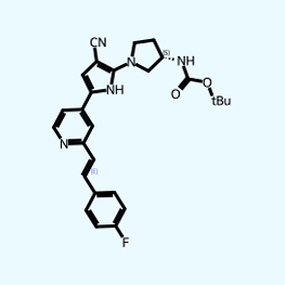 CC(C)(C)OC(=O)N[C@H]1CCN(c2[nH]c(-c3ccnc(/C=C/c4ccc(F)cc4)c3)cc2C#N)C1